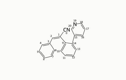 N#CC(=Cc1ccccc1)c1ccccc1-c1cccnc1